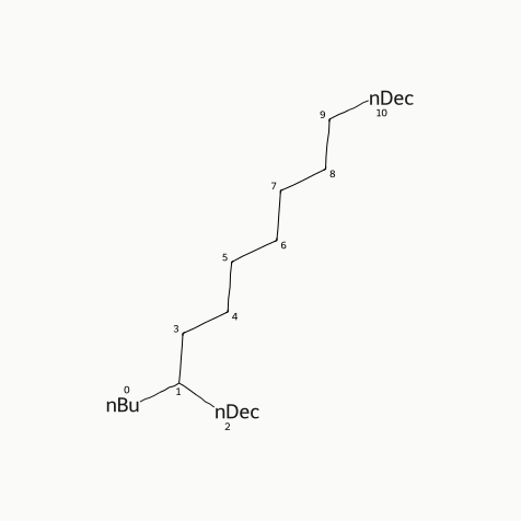 [CH2]CCCC(CCCCCCCCCC)CCCCCCCCCCCCCCCCC